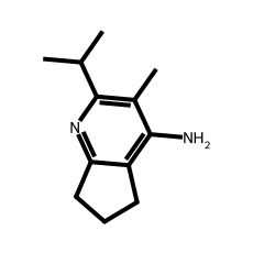 Cc1c(C(C)C)nc2c(c1N)CCC2